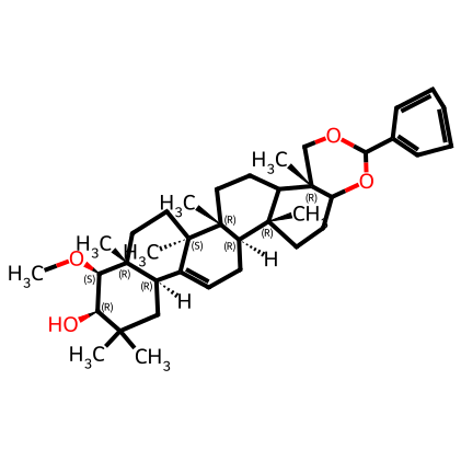 CO[C@@H]1[C@H](O)C(C)(C)C[C@@H]2C3=CC[C@@H]4[C@@]5(C)CCC6OC(c7ccccc7)OC[C@@]6(C)C5CC[C@@]4(C)[C@]3(C)CC[C@]21C